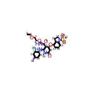 C=COCCONC(=O)c1c(Oc2cccc3c2CCN3S(C)(=O)=O)cc(=O)n(C)c1Nc1ccc(I)cc1F